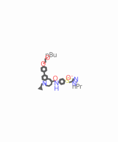 CCCCOCCOc1ccc(-c2ccc3c(c2)/C=C(/C(=O)Nc2ccc([S@@+]([O-])Cc4cncn4CCC)cc2)CCCN3CC2CC2)cc1